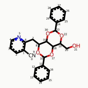 N#Cc1cccnc1CC1OC(c2ccccc2)OC2C(CO)OC(c3ccccc3)OC12